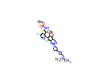 CN(C)CC1CN([C@@H]2CCN(c3ncc4c5c(c(-c6ncc(F)c7sc(NC(=O)OC(C)(C)C)c(C#N)c67)c(F)c4n3)COC5)C2)C1